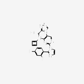 CC[C@@H]1c2nncn2-c2cnc(-n3ccnc3-c3ccc(F)cc3F)nc2N1C1=CC=C1